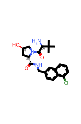 CC(C)(C)[C@H](N)C(=O)N1C[C@H](O)C[C@H]1C(=O)NCc1ccc2c(Cl)cccc2c1